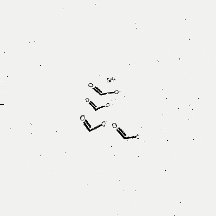 O=C[O-].O=C[O-].O=C[O-].O=C[O-].[Si+4]